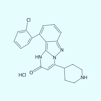 Cl.O=c1cc(C2CCNCC2)n2nc3cccc(-c4ccccc4Cl)c3c2[nH]1